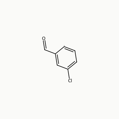 O=Cc1[c]ccc(Cl)c1